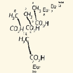 CC(=O)O.CC(=O)O.CC(=O)O.CC(=O)O.[Eu].[Eu].[Eu].[Eu]